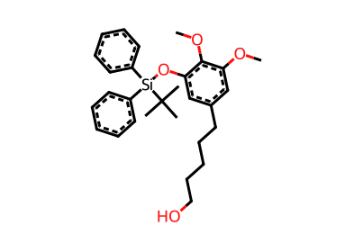 COc1cc(CCCCCO)cc(O[Si](c2ccccc2)(c2ccccc2)C(C)(C)C)c1OC